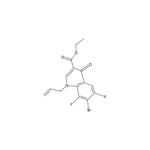 C=CCn1cc(C(=O)OCC)c(=O)c2cc(F)c(Br)c(F)c21